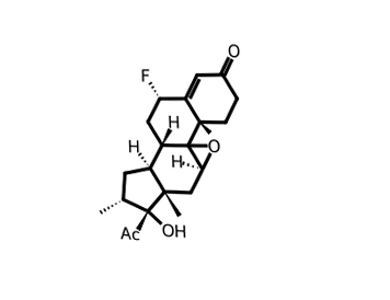 CC(=O)[C@@]1(O)[C@H](C)C[C@H]2[C@@H]3C[C@H](F)C4=CC(=O)CC[C@]4(C)C34O[C@H]4C[C@@]21C